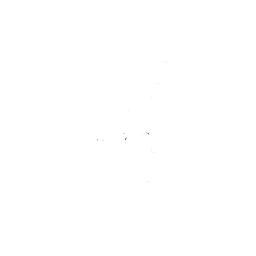 COc1cncc2c1[C@]1(O)[C@H](O)[C@H](CN3CCN(C)CC3)[C@@H](c3ccccc3)C1(c1ccc(C#N)cc1)O2